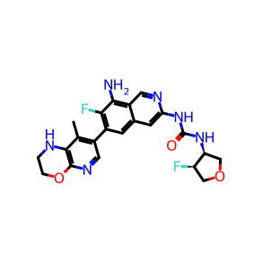 Cc1c(-c2cc3cc(NC(=O)N[C@H]4COC[C@H]4F)ncc3c(N)c2F)cnc2c1NCCO2